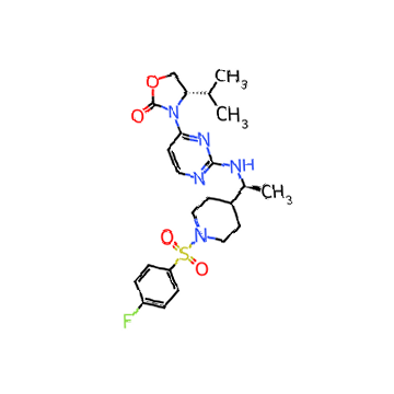 CC(C)[C@H]1COC(=O)N1c1ccnc(N[C@@H](C)C2CCN(S(=O)(=O)c3ccc(F)cc3)CC2)n1